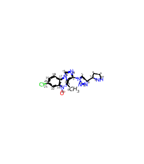 Cc1c2c(-n3cc(C4CCCN4)nn3)ncn2c2ccc(Cl)cc2[n+]1[O-]